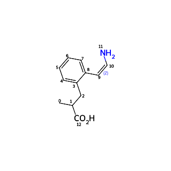 CC(Cc1ccccc1/C=C\N)C(=O)O